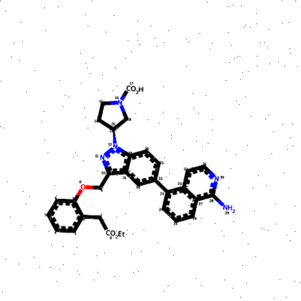 CCOC(=O)Cc1ccccc1OCc1nn([C@H]2CCN(C(=O)O)C2)c2ccc(-c3cccc4c(N)nccc34)cc12